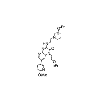 CCCOCCN1C(=O)C(NCCN2CCC[C@H](OCC)C2)=NC2N=CC(c3ccc(OC)nc3)=CC21